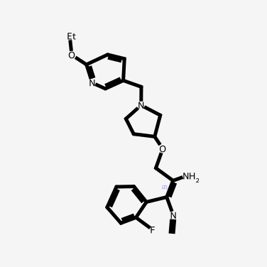 C=N/C(=C(\N)COC1CCN(Cc2ccc(OCC)nc2)C1)c1ccccc1F